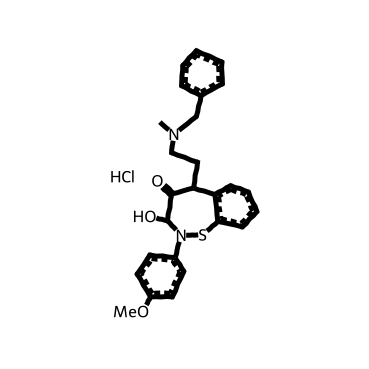 COc1ccc(N2Sc3ccccc3C(CCN(C)Cc3ccccc3)C(=O)C2O)cc1.Cl